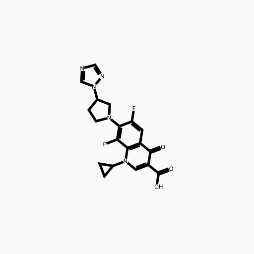 O=C(O)c1cn(C2CC2)c2c(F)c(N3CCC(n4cncn4)C3)c(F)cc2c1=O